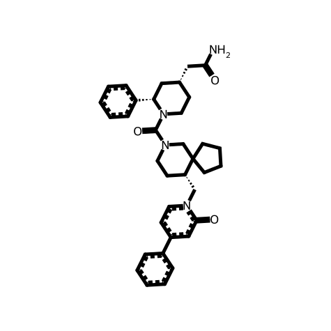 NC(=O)C[C@@H]1CCN(C(=O)N2CC[C@@H](Cn3ccc(-c4ccccc4)cc3=O)C3(CCCC3)C2)[C@H](c2ccccc2)C1